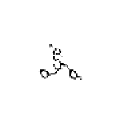 O=C1C(=Cc2cccc(Br)c2)CN(Cc2ccccc2)CC1=Cc1cccc(Br)c1